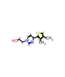 Cc1csc(C2C=CN(CCO)C=N2)c1C